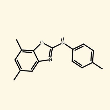 Cc1ccc(Nc2nc3cc(C)cc(C)c3o2)cc1